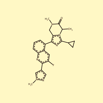 CC1C(=O)N(C)Cc2c(-c3cccc4nc(-c5cnn(C)c5)c(F)cc34)nc(C3CC3)n21